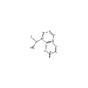 CC(S)c1cccc2c1CNCC2